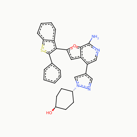 Nc1ncc(-c2cnn([C@H]3CC[C@H](O)CC3)c2)c2cc(-c3c(-c4ccccc4)sc4ccccc34)oc12